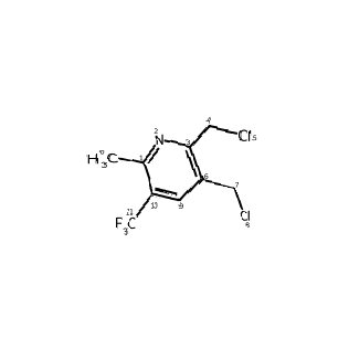 Cc1nc(CCl)c(CCl)cc1C(F)(F)F